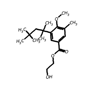 COc1c(C)cc(C(=O)OCCO)cc1C(C)(C)CC(C)(C)C